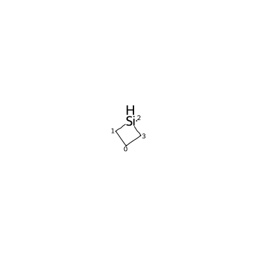 C1C[SiH]C1